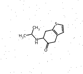 CC(C)NC1Cc2sccc2CC1=O